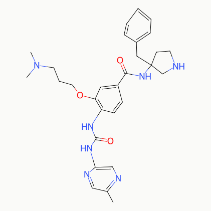 Cc1cnc(NC(=O)Nc2ccc(C(=O)NC3(Cc4ccccc4)CCNC3)cc2OCCCN(C)C)cn1